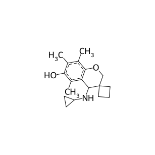 Cc1c(C)c2c(c(C)c1O)C(NC1CC1)C1(CCC1)CO2